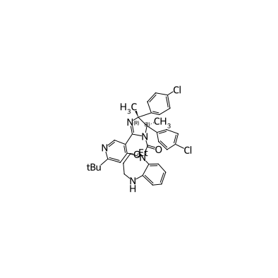 CCOc1cc(C(C)(C)C)ncc1C1=N[C@](C)(c2ccc(Cl)cc2)[C@@](C)(c2ccc(Cl)cc2)N1C(=O)N1CCCNc2ccccc21